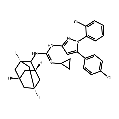 Clc1ccc(-c2cc(NC(=NC3CC3)NC3[C@H]4C[C@H]5C[C@H](C4)C[C@H]3C5)nn2-c2ccccc2Cl)cc1